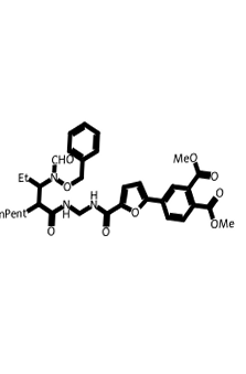 CCCCCC(C(=O)NCNC(=O)c1ccc(-c2ccc(C(=O)OC)c(C(=O)OC)c2)o1)C(CC)N(C=O)OCc1ccccc1